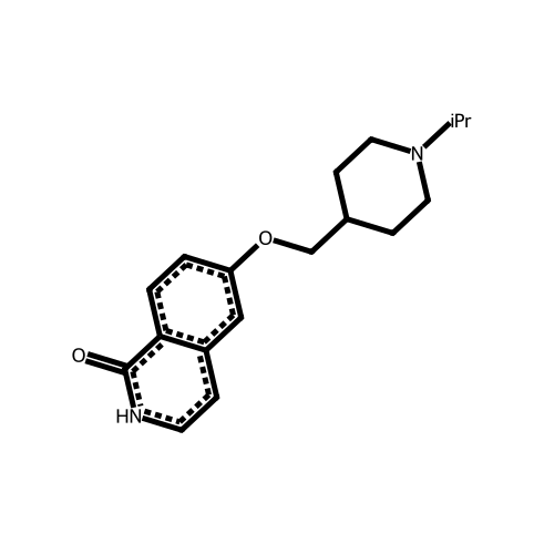 CC(C)N1CCC(COc2ccc3c(=O)[nH]ccc3c2)CC1